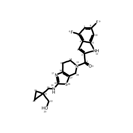 O=C(c1cc2c(F)cc(F)cc2[nH]1)N1CCc2nc(NCC3(CO)CC3)sc2C1